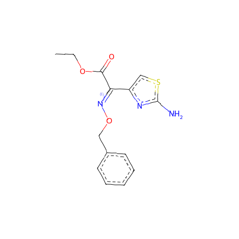 CCOC(=O)/C(=N/OCc1ccccc1)c1csc(N)n1